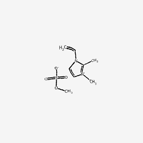 C=Cn1cc[n+](C)c1C.COS(=O)(=O)[O-]